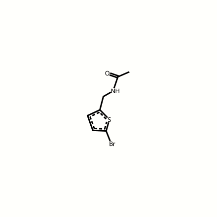 CC(=O)NCc1ccc(Br)s1